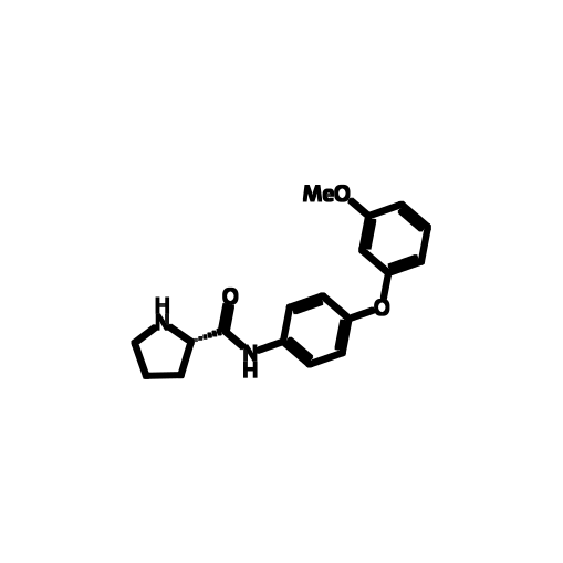 COc1cccc(Oc2ccc(NC(=O)[C@@H]3CCCN3)cc2)c1